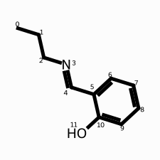 CCCN=Cc1ccccc1O